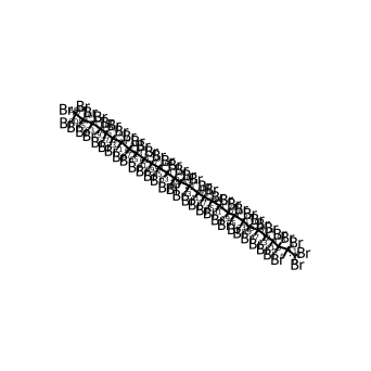 Br[C](Br)C(Br)(Br)C(Br)(Br)C(Br)(Br)C(Br)(Br)C(Br)(Br)C(Br)(Br)C(Br)(Br)C(Br)(Br)C(Br)(Br)C(Br)(Br)C(Br)(Br)C(Br)(Br)C(Br)(Br)C(Br)(Br)C(Br)(Br)C(Br)(Br)C(Br)(Br)C(Br)(Br)C(Br)(Br)C(Br)(Br)C(Br)(Br)C(Br)(Br)C(Br)(Br)C(Br)(Br)C(Br)(Br)C(Br)(Br)C(Br)(Br)C(Br)(Br)C(Br)(Br)Br